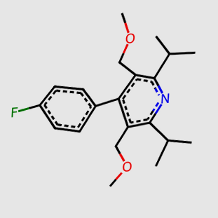 COCc1c(C(C)C)nc(C(C)C)c(COC)c1-c1ccc(F)cc1